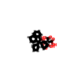 O=[C](O)[Hf]([C](=O)O)([C](=O)O)[C](=O)OC(c1ccccc1)C(c1ccccc1)(c1ccccc1)c1ccccc1